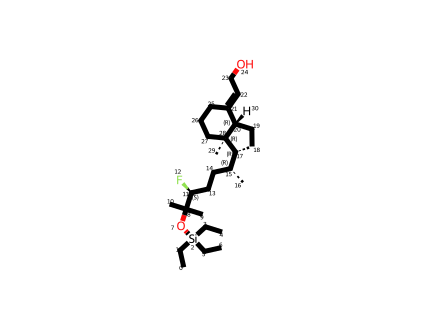 CC[Si](CC)(CC)OC(C)(C)[C@@H](F)CC[C@@H](C)[C@H]1CC[C@H]2C(=CCO)CCC[C@]12C